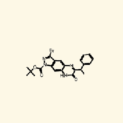 CC(c1ccccc1)c1nc2cc3c(Br)nn(C(=O)OC(C)(C)C)c3cc2[nH]c1=O